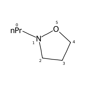 CCCN1CCCO1